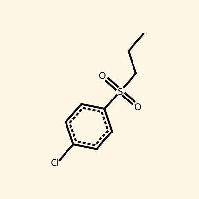 [CH2]CCS(=O)(=O)c1ccc(Cl)cc1